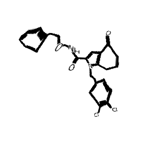 O=C1CCCc2c1cc(C(=O)NOCc1ccccc1)n2Cc1ccc(Cl)c(Cl)c1